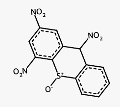 O=[N+]([O-])c1cc2c(c([N+](=O)[O-])c1)[S+]([O-])c1ccccc1C2[N+](=O)[O-]